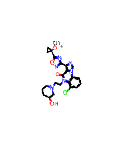 COC1(c2nc(-c3ncn4c3c(=O)n(CCN3CCCC(O)C3)c3c(Cl)cccc34)no2)CC1